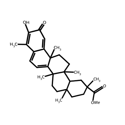 COC(=O)C1(C)CCC2(C)CCC3(C)C4=CC=C5C(=CC(=O)C(O)=C5C)C4(C)CCC3(C)C2C1